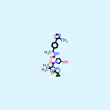 Cc1ncsc1-c1ccc([C@@H](C)NC(=O)[C@@H]2C[C@@H](O)CN2C(=O)[C@@H](NC(=O)C2(F)CC2)C(C)(C)C)cc1